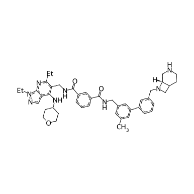 CCc1nc2c(cnn2CC)c(NC2CCOCC2)c1CNC(=O)c1cccc(C(=O)NCc2cc(C)cc(-c3cccc(CN4CC5CCNC[C@H]54)c3)c2)c1